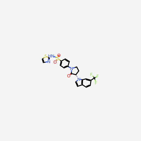 O=C1[C@@H](n2ccc3ccc(C(F)(F)F)cc32)CCN1c1ccc(S(=O)(=O)Nc2nccs2)cc1